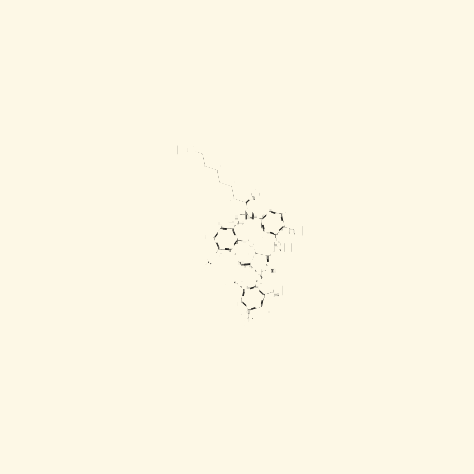 CCCCCCCC(=O)Nc1ccc(Cl)c(NC2=NN(c3c(Cl)cc(Cl)cc3Cl)C(=O)C2Sc2cc(C)ccc2C)c1